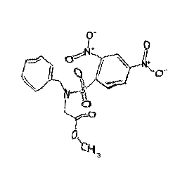 COC(=O)CN(c1ccccc1)S(=O)(=O)c1ccc([N+](=O)[O-])cc1[N+](=O)[O-]